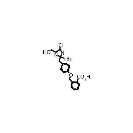 CCCCC1(Cc2ccc(OCc3ccccc3C(=O)O)cc2)N=C(Cl)C(CO)=N1